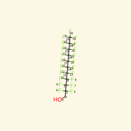 OCC(F)(F)C(F)(F)C(F)(F)C(F)(F)C(F)(F)C(F)(F)C(F)(F)C(F)(F)C(F)(F)C(F)(F)F